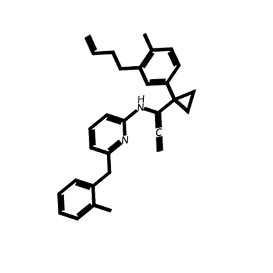 C=C=C(Nc1cccc(Cc2ccccc2C)n1)C1(c2ccc(C)c(CCC=C)c2)CC1